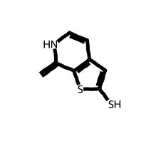 C=C1NC=Cc2cc(S)sc21